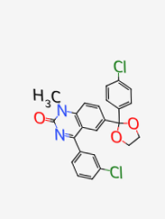 Cn1c(=O)nc(-c2cccc(Cl)c2)c2cc(C3(c4ccc(Cl)cc4)OCCO3)ccc21